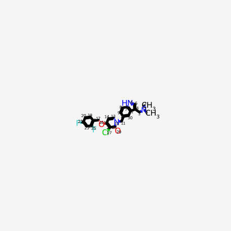 CN(C)Cc1c[nH]c2ccc(Cn3ccc(OCc4ccc(F)cc4F)c(Cl)c3=O)cc12